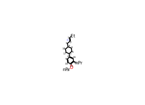 CC/C=C/CC1CCC(c2ccc(OCCC)c(CCC)c2)CC1